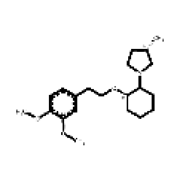 COc1ccc(CCO[C@@H]2CCCCC2N2CC[C@H](C)C2)cc1OC